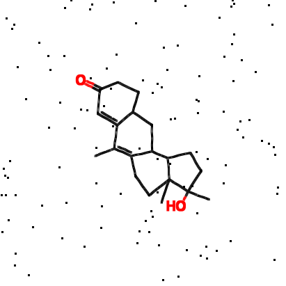 CC1=C2CCC3(C)C(CCC3(C)O)C2CC2CCC(=O)C=C12